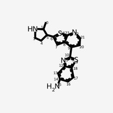 CC1NCCC1c1cc2c(-c3nc4cc(N)ccc4s3)ccnc2s1